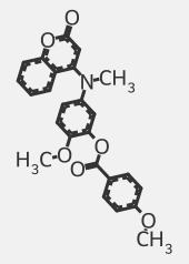 COc1ccc(C(=O)Oc2cc(N(C)c3cc(=O)oc4ccccc34)ccc2OC)cc1